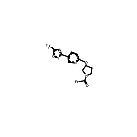 CCC(=O)N1CC[C@H](Oc2ccc(-c3noc(C(F)(F)F)n3)cn2)C1